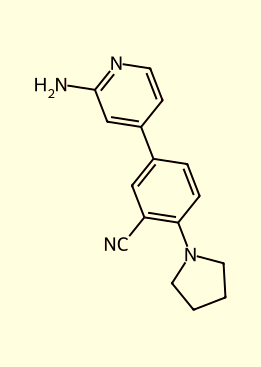 N#Cc1cc(-c2ccnc(N)c2)ccc1N1CCCC1